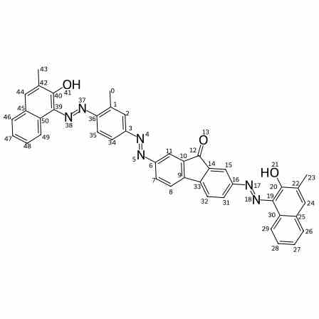 Cc1cc(N=Nc2ccc3c(c2)C(=O)c2cc(N=Nc4c(O)c(C)cc5ccccc45)ccc2-3)ccc1N=Nc1c(O)c(C)cc2ccccc12